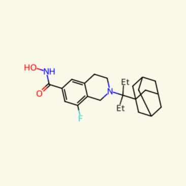 CCC(CC)(N1CCc2cc(C(=O)NO)cc(F)c2C1)C12CC3CC(CC(C3)C1)C2